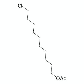 CC(=O)OCCCCCCCCCCCl